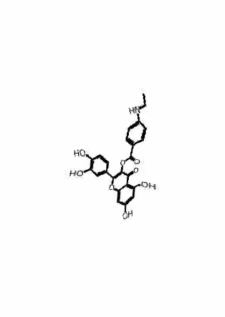 CCNc1ccc(C(=O)Oc2c(-c3ccc(O)c(O)c3)oc3cc(O)cc(O)c3c2=O)cc1